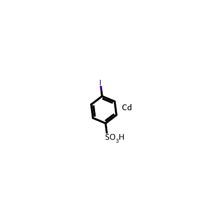 O=S(=O)(O)c1ccc(I)cc1.[Cd]